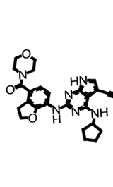 N#Cc1c[nH]c2nc(Nc3ccc(C(=O)N4CCOCC4)c4c3OCC4)nc(NC3CCCC3)c12